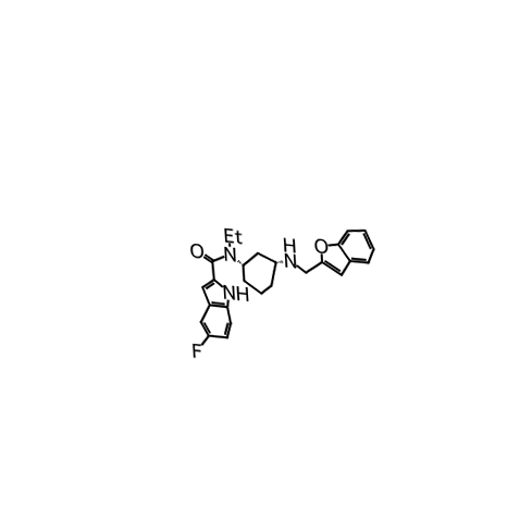 CCN(C(=O)c1cc2cc(F)ccc2[nH]1)[C@H]1CCC[C@@H](NCc2cc3ccccc3o2)C1